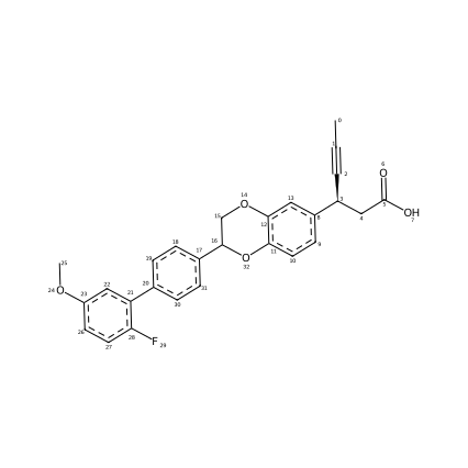 CC#C[C@@H](CC(=O)O)c1ccc2c(c1)OCC(c1ccc(-c3cc(OC)ccc3F)cc1)O2